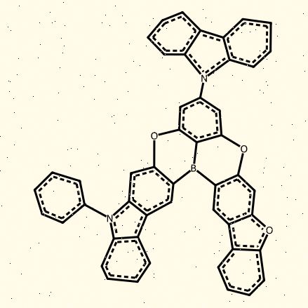 c1ccc(-n2c3ccccc3c3cc4c(cc32)Oc2cc(-n3c5ccccc5c5ccccc53)cc3c2B4c2cc4c(cc2O3)oc2ccccc24)cc1